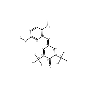 COc1ccc(OC)c(C=C2C=C(C(C)(C)C)C(=O)C(C(C)(C)C)=C2)c1